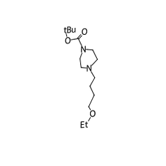 CCOCCCCN1CCN(C(=O)OC(C)(C)C)CC1